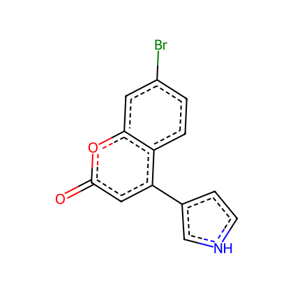 O=c1cc(-c2cc[nH]c2)c2ccc(Br)cc2o1